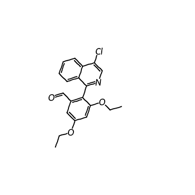 CCOc1cc(C=O)c(-c2ncc(Cl)c3ccccc23)c(OCC)c1